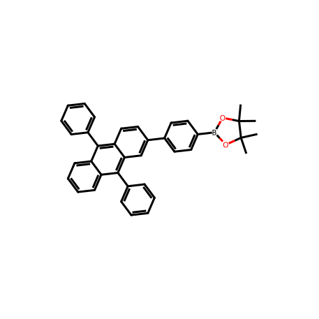 CC1(C)OB(c2ccc(-c3ccc4c(-c5ccccc5)c5ccccc5c(-c5ccccc5)c4c3)cc2)OC1(C)C